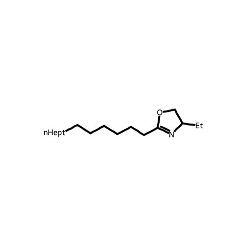 CCCCCCCCCCCCCC1=NC(CC)CO1